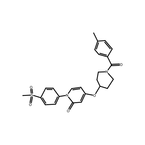 Cc1ccc(C(=O)N2CCC(Oc3ccn(-c4ccc(S(C)(=O)=O)cc4)c(=O)c3)CC2)cc1